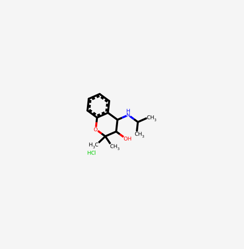 CC(C)NC1c2ccccc2OC(C)(C)C1O.Cl